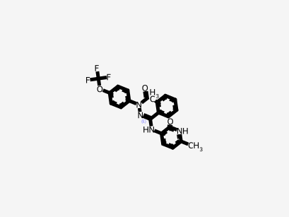 Cc1ccc(N/C(=N/N(C=O)c2ccc(OC(F)(F)F)cc2)c2ccccc2C)c(=O)[nH]1